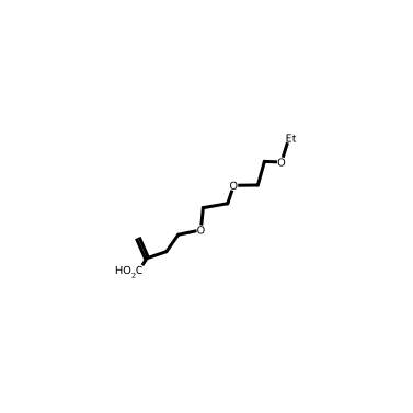 C=C(CCOCCOCCOCC)C(=O)O